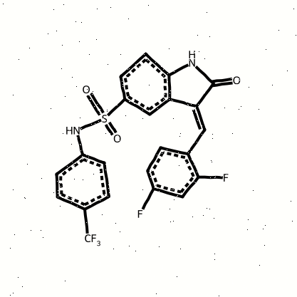 O=C1Nc2ccc(S(=O)(=O)Nc3ccc(C(F)(F)F)cc3)cc2C1=Cc1ccc(F)cc1F